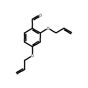 C=CCOc1ccc(C=O)c(OCC=C)c1